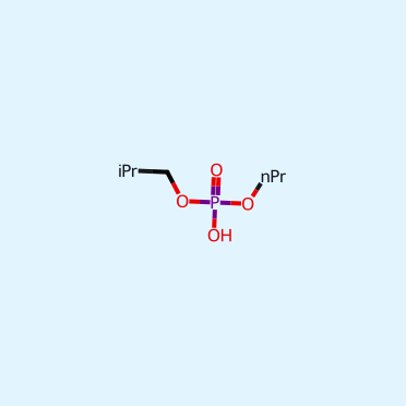 CCCOP(=O)(O)OCC(C)C